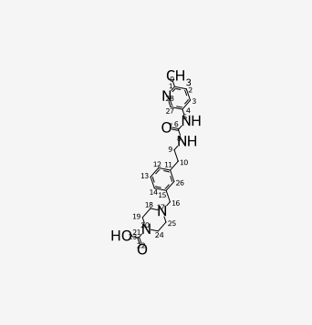 Cc1ccc(NC(=O)NCCc2cccc(CN3CCN(C(=O)O)CC3)c2)cn1